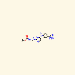 CC(C)(C)OC(=O)N1CCN(c2nccc(Nc3ccc(-c4cnn[nH]4)cc3)n2)CC1